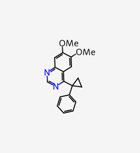 COc1cc2ncnc(C3(c4ccccc4)CC3)c2cc1OC